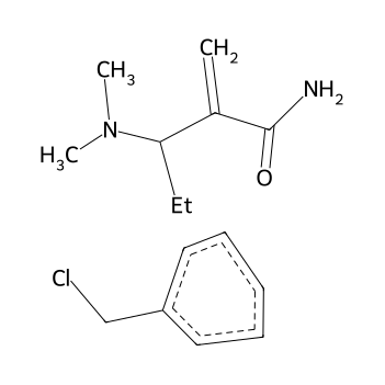 C=C(C(N)=O)C(CC)N(C)C.ClCc1ccccc1